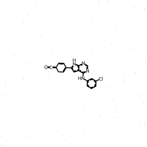 O=C=C1C=CC(c2cc3c(Nc4cccc(Cl)c4)ncnc3[nH]2)=CC1